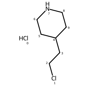 Cl.ClCCC1CCNCC1